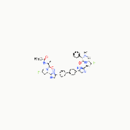 CCN(CC)[C@@H](C(=O)N1C[C@H](F)C[C@H]1c1ncc(-c2ccc(-c3ccc(-c4cnc([C@@H]5C[C@H](F)CN5C(=O)[C@H](C)NC(=O)OC)[nH]4)cc3)cc2)[nH]1)c1ccccc1